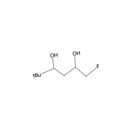 CC(C)(C)C(O)CC(O)CF